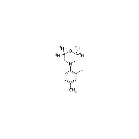 [2H]C1([2H])CN(c2ccc(C)cc2F)CC([2H])([2H])O1